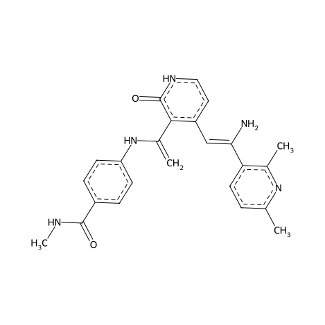 C=C(Nc1ccc(C(=O)NC)cc1)c1c(/C=C(\N)c2ccc(C)nc2C)cc[nH]c1=O